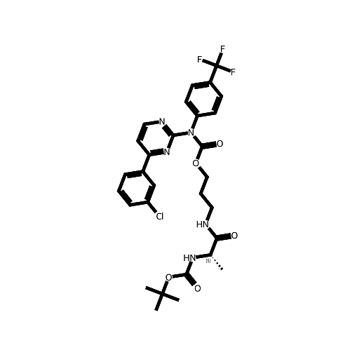 C[C@H](NC(=O)OC(C)(C)C)C(=O)NCCCOC(=O)N(c1ccc(C(F)(F)F)cc1)c1nccc(-c2cccc(Cl)c2)n1